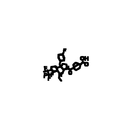 CCN1CC2N(C(=O)C34CCC(C(=O)O)(CC3)CC4)CCC2(Cc2ccc(F)cc2)c2ccc(C(C)(F)C(F)(F)F)cc21